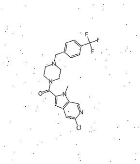 Cn1c(C(=O)N2CCN(Cc3ccc(C(F)(F)F)cc3)CC2)cc2cc(Cl)ncc21